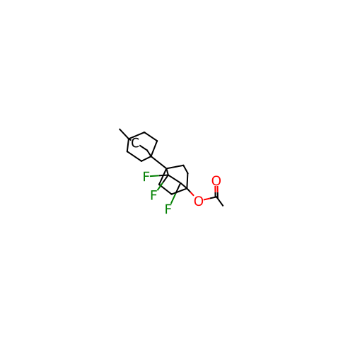 CC(=O)OC12CCC(C34CCC(C)(CC3)CC4)(CC1)C(F)(F)C2F